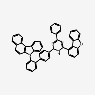 c1ccc(C2=NC(c3ccc(-c4ccccc4-n4c5ccccc5c5c6ccccc6ccc54)cc3)NC(c3cccc4oc5ccccc5c34)=N2)cc1